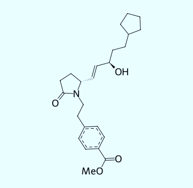 COC(=O)c1ccc(CCN2C(=O)CC[C@@H]2C=C[C@H](O)CCC2CCCC2)cc1